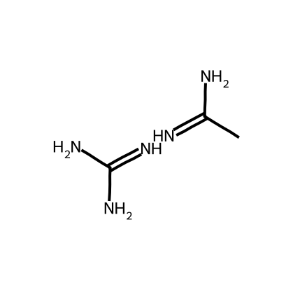 CC(=N)N.N=C(N)N